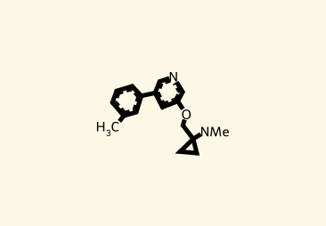 CNC1(COc2cncc(-c3cccc(C)c3)c2)CC1